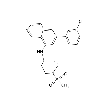 CS(=O)(=O)N1CCC(Nc2cc(-c3cccc(Cl)c3)cc3ccncc23)CC1